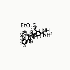 CCOC(=O)CCc1cc(C(=N)N)ccc1C(=O)NN1CC(=O)N(CC(C)C)c2ccccc2C1=O